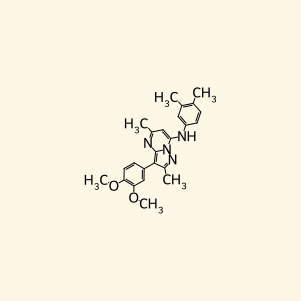 COc1ccc(-c2c(C)nn3c(Nc4ccc(C)c(C)c4)cc(C)nc23)cc1OC